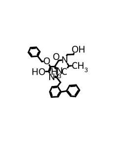 CC(C)N(CCO)C(=O)c1nc(Cc2ccccc2-c2ccccc2)nc(O)c1OCc1ccccc1